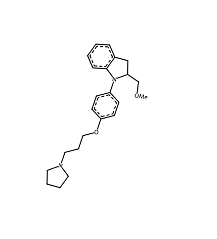 COCC1Cc2ccccc2N1c1ccc(OCCCN2CCCC2)cc1